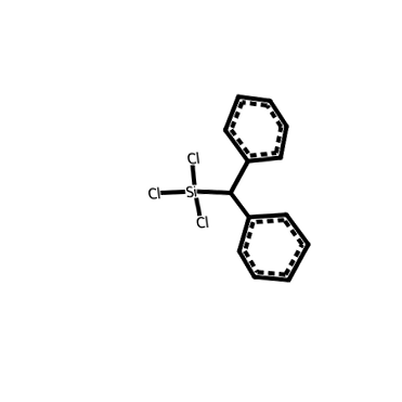 Cl[Si](Cl)(Cl)C(c1ccccc1)c1ccccc1